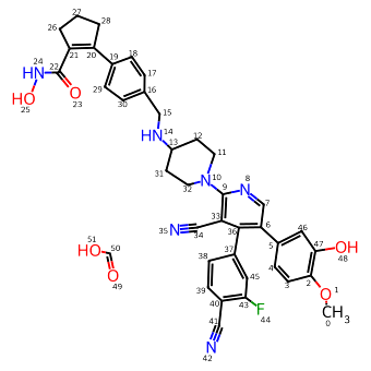 COc1ccc(-c2cnc(N3CCC(NCc4ccc(C5=C(C(=O)NO)CCC5)cc4)CC3)c(C#N)c2-c2ccc(C#N)c(F)c2)cc1O.O=CO